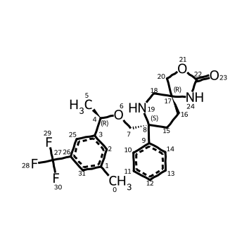 Cc1cc([C@@H](C)OC[C@@]2(c3ccccc3)CC[C@@]3(CN2)COC(=O)N3)cc(C(F)(F)F)c1